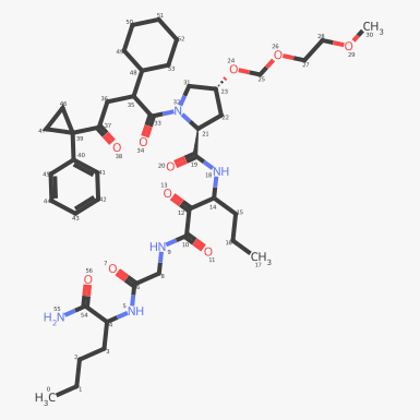 CCCCC(NC(=O)CNC(=O)C(=O)C(CCC)NC(=O)[C@@H]1C[C@@H](OCOCCOC)CN1C(=O)C(CC(=O)C1(c2ccccc2)CC1)C1CCCCC1)C(N)=O